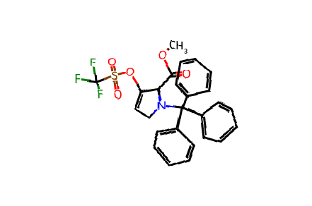 COC(=O)C1C(OS(=O)(=O)C(F)(F)F)=CCN1C(c1ccccc1)(c1ccccc1)c1ccccc1